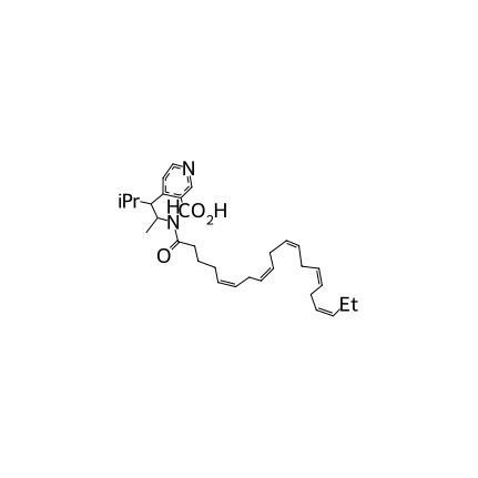 CC/C=C\C/C=C\C/C=C\C/C=C\C/C=C\CCCC(=O)NC(C)C(c1ccncc1C(=O)O)C(C)C